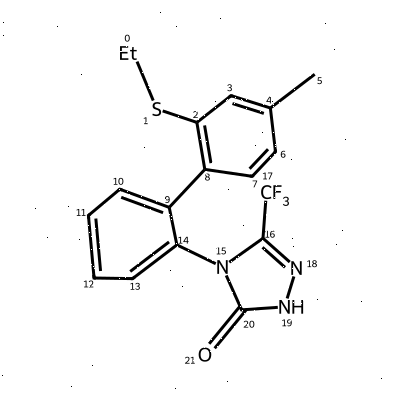 CCSc1cc(C)ccc1-c1ccccc1-n1c(C(F)(F)F)n[nH]c1=O